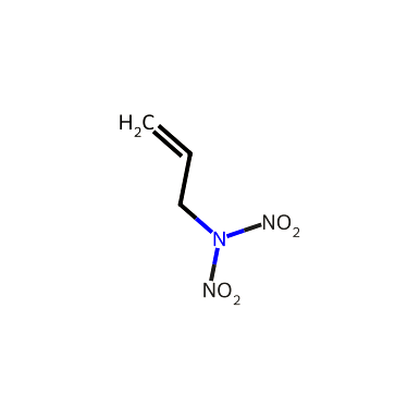 C=CCN([N+](=O)[O-])[N+](=O)[O-]